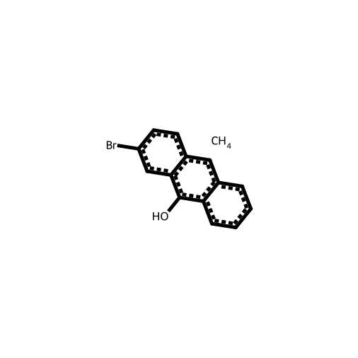 C.Oc1c2ccccc2cc2ccc(Br)cc12